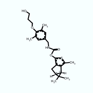 Cc1cc(CNC(=O)Oc2sc(C)c3c2C[C@@H]2[C@H]3C2(C)C)cc(C)c1OCCCO